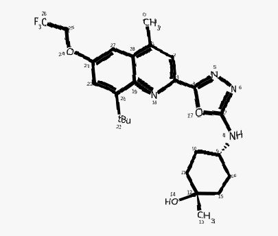 Cc1cc(-c2nnc(N[C@H]3CC[C@@](C)(O)CC3)o2)nc2c(C(C)(C)C)cc(OCC(F)(F)F)cc12